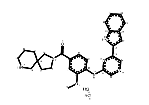 COc1cc(C(=O)N2CCC3(CCCNC3)C2)ccc1Nc1cncc(-c2cc3ccccc3[nH]2)n1.Cl.Cl